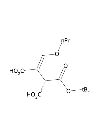 CCCOC=C(C(=O)O)[C@@H](C(=O)O)C(=O)OC(C)(C)C